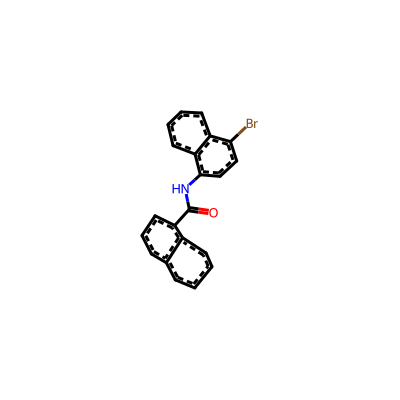 O=C(Nc1ccc(Br)c2ccccc12)c1cccc2ccccc12